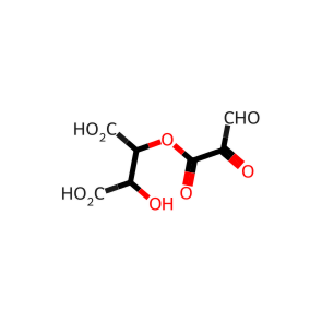 O=CC(=O)C(=O)OC(C(=O)O)C(O)C(=O)O